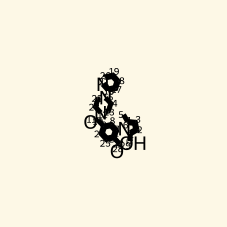 Cc1ccc(C)n1-c1cc(C(=O)N2CCN(c3ccccn3)CC2)ccc1C(=O)O